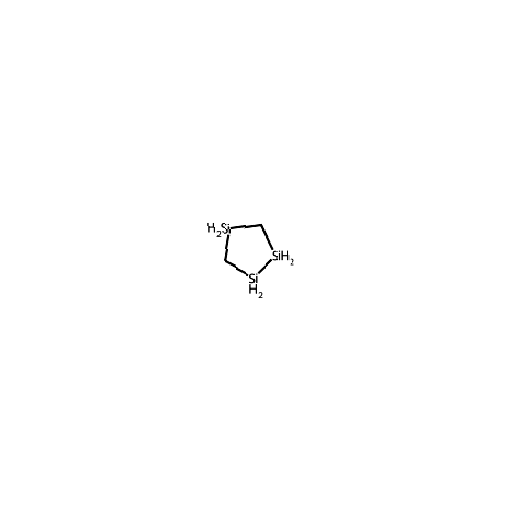 C1[SiH2]C[SiH2][SiH2]1